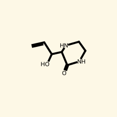 C=CC(O)C1NCCNC1=O